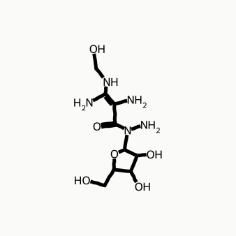 N/C(NCO)=C(/N)C(=O)N(N)C1OC(CO)C(O)C1O